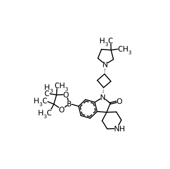 CC1(C)CCN([C@H]2C[C@@H](N3C(=O)C4(CCNCC4)c4ccc(B5OC(C)(C)C(C)(C)O5)cc43)C2)C1